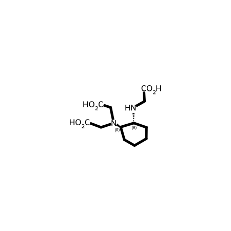 O=C(O)CN[C@@H]1CCCC[C@H]1N(CC(=O)O)CC(=O)O